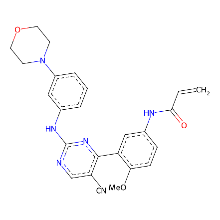 C=CC(=O)Nc1ccc(OC)c(-c2nc(Nc3cccc(N4CCOCC4)c3)ncc2C#N)c1